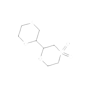 O=S1(=O)CCOC(C2CSCCO2)C1